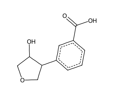 O=C(O)c1cccc(C2COCC2O)c1